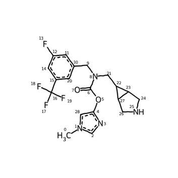 Cn1cnc(OC(=O)N(Cc2cc(F)cc(C(F)(F)F)c2)CC2C3CNCC32)c1